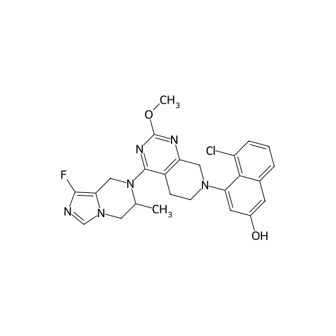 COc1nc2c(c(N3Cc4c(F)ncn4CC3C)n1)CCN(c1cc(O)cc3cccc(Cl)c13)C2